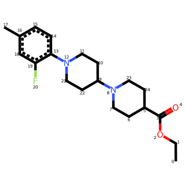 CCOC(=O)C1CCN(C2CCN(c3ccc(C)cc3F)CC2)CC1